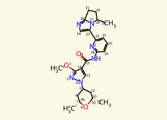 COc1nn(C2C[C@@H](C)O[C@@H](C)C2)cc1C(=O)Nc1cccc(-c2cnc3n2C(C)CC3)n1